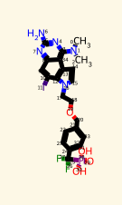 CN(C)c1nc(N)nc2cc(I)c3c(ccn3CCOCc3ccc(C(F)(F)P(=O)(O)O)cc3)c12